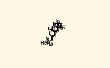 O=S(=O)(O)CCCC(CC(F)(C(F)(F)F)C(F)(F)F)C(F)(F)F